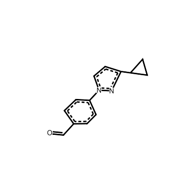 O=Cc1ccc(-n2ccc(C3CC3)n2)cc1